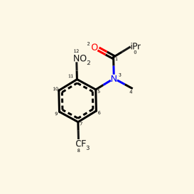 CC(C)C(=O)N(C)c1cc(C(F)(F)F)ccc1[N+](=O)[O-]